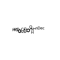 CCCCCCCCCCCCNC(=O)c1ccc(CN(Cc2ccc(O)cc2)C(=O)C(=O)O)cc1